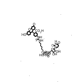 O=C(O)c1cc(NC(=S)NCCCCCCOP(=O)(O)OP(=O)(O)OC[C@H]2O[C@@H](n3ccc(=O)[nH]c3=O)C(O)[C@H]2O)ccc1-c1c2ccc(=O)cc-2oc2cc(O)ccc12